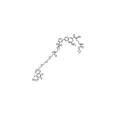 CCCN(CCCNC(=O)OC1CCC1)C(=O)C1=Cc2ccc(-c3cccc(S(=O)(=O)N4CC(CNC(=O)CCOCCOCCOCCC(=O)Oc5c(F)c(F)c(S(=O)(=O)O)c(F)c5F)C4)c3)cc2N=C(N)C1